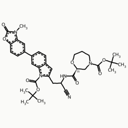 Cn1c(=O)oc2ccc(-c3ccc4cc(CC(C#N)NC(=O)[C@@H]5CN(C(=O)OC(C)(C)C)CCCO5)n(C(=O)OC(C)(C)C)c4c3)cc21